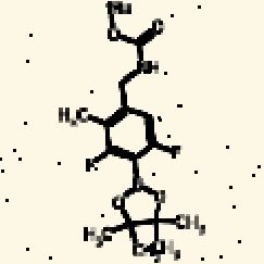 Cc1c(CNC(=O)OC(C)(C)C)cc(F)c(B2OC(C)(C)C(C)(C)O2)c1F